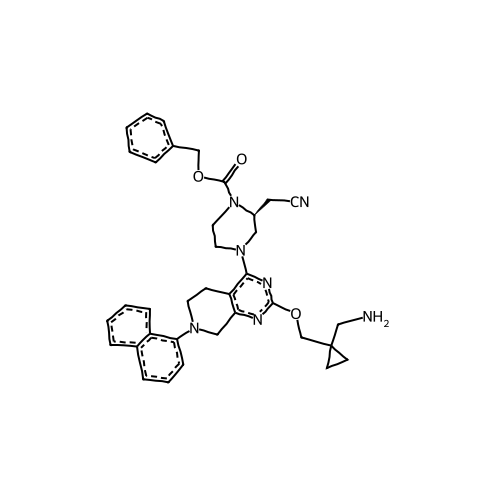 N#CC[C@H]1CN(c2nc(OCC3(CN)CC3)nc3c2CCN(c2cccc4ccccc24)C3)CCN1C(=O)OCc1ccccc1